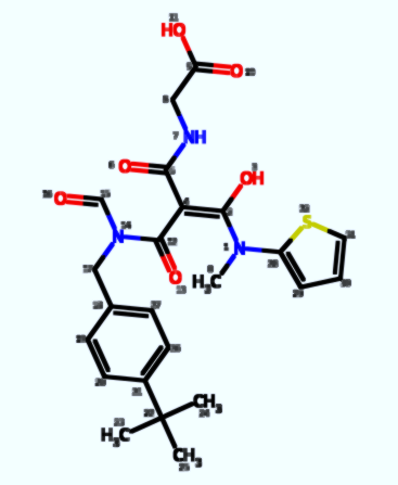 CN(/C(O)=C(/C(=O)NCC(=O)O)C(=O)N(C=O)Cc1ccc(C(C)(C)C)cc1)c1cccs1